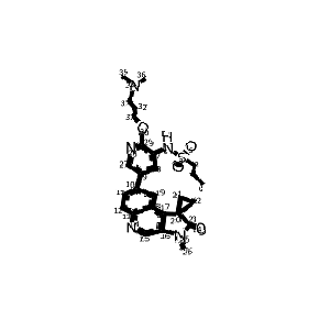 CCCS(=O)(=O)Nc1cc(-c2ccc3ncc4c(c3c2)C2(CC2)C(=O)N4C)cnc1OCCCN(C)C